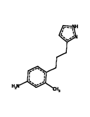 Cc1cc(N)ccc1CCCc1cc[nH]n1